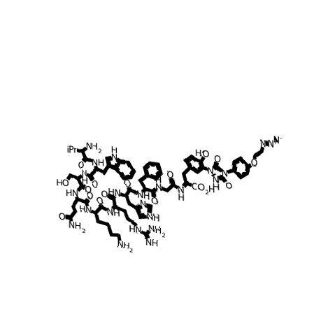 CC(C)C(N)C(=O)NC(Cc1c[nH]c2ccccc12)C(=O)NC(CO)C(=O)NC(CCC(N)=O)C(=O)NC(CCCCN)C(=O)NC(CCCNC(=N)N)C(=O)NC(Cc1c[nH]cn1)C(=O)NC(Cc1ccccc1)C(=O)NCC(=O)NC(Cc1ccc(O)c(-n2[nH]c(=O)n(-c3ccc(OCCN=[N+]=[N-])cc3)c2=O)c1)C(=O)O